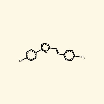 Cc1ccc(C=Cc2nc(-c3ccc(Cl)cc3)cs2)cc1